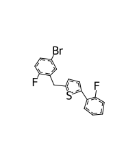 Fc1ccc(Br)cc1Cc1ccc(-c2ccccc2F)s1